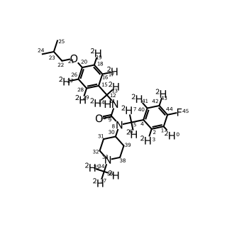 [2H]c1c([2H])c(C([2H])([2H])N(C(=O)NC([2H])([2H])c2c([2H])c([2H])c(OCC(C)C)c([2H])c2[2H])C2CCN(C([2H])([2H])[2H])CC2)c([2H])c([2H])c1F